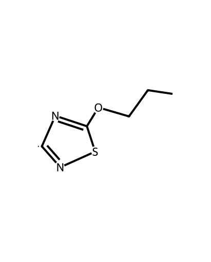 CCCOc1n[c]ns1